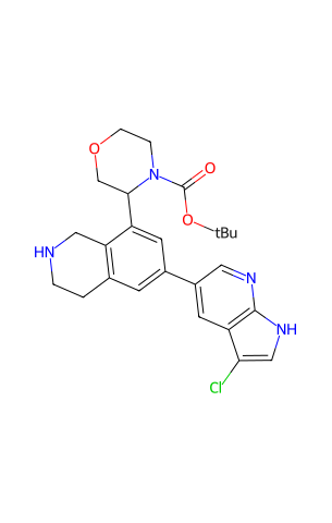 CC(C)(C)OC(=O)N1CCOCC1c1cc(-c2cnc3[nH]cc(Cl)c3c2)cc2c1CNCC2